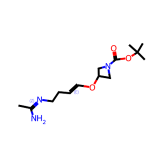 C/C(N)=N/CC/C=C/OC1CN(C(=O)OC(C)(C)C)C1